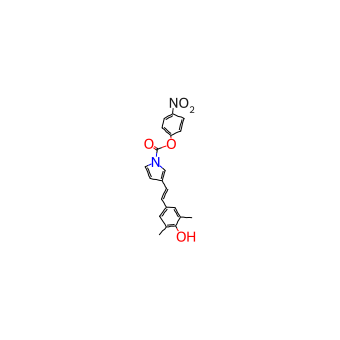 Cc1cc(/C=C/c2ccn(C(=O)Oc3ccc([N+](=O)[O-])cc3)c2)cc(C)c1O